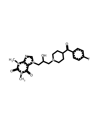 Cn1c(=O)c2c(ncn2CC(O)CN2CCC(C(=O)c3ccc(F)cc3)CC2)n(C)c1=O